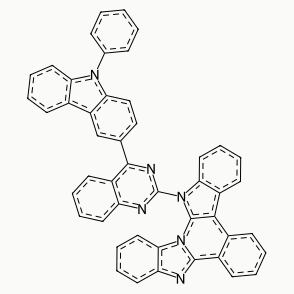 c1ccc(-n2c3ccccc3c3cc(-c4nc(-n5c6ccccc6c6c7ccccc7c7nc8ccccc8n7c65)nc5ccccc45)ccc32)cc1